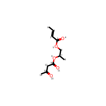 CC=CC(=O)OCC(C)OC(=O)CC(C)=O